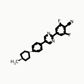 C[C@H]1CC[C@H](c2ccc(-c3cnc(-c4cc(F)c(C#N)c(F)c4)nc3)cc2)CC1